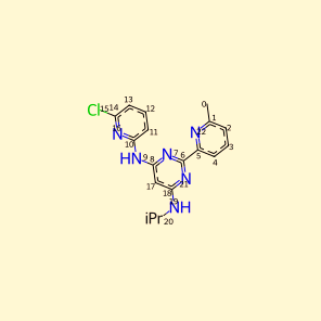 Cc1cccc(-c2nc(Nc3cccc(Cl)n3)cc(NC(C)C)n2)n1